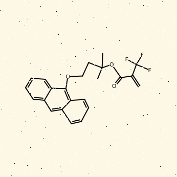 C=C(C(=O)OC(C)(C)CCOc1c2ccccc2cc2ccccc12)C(F)(F)F